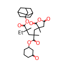 CCC(C)(CC(C)(CC1(C)CC(=O)OC1=O)C(=O)OC1CCCC(=O)C1)C(=O)OC12CC3CC(CC(C3)C1)C2